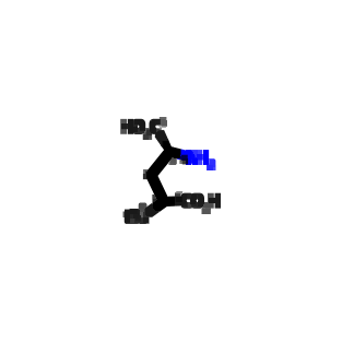 CC(C)(C)C(C[C@H](N)C(=O)O)C(=O)O